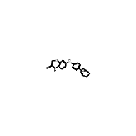 O=C1COc2cc(Nc3ccc(N4C5CCC4CC5)cc3)ccc2N1